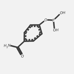 NC(=O)c1ccc(OP(O)O)cc1